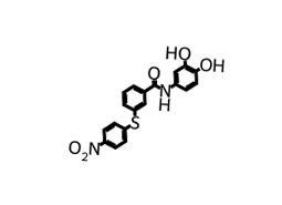 O=C(Nc1ccc(O)c(O)c1)c1cccc(Sc2ccc([N+](=O)[O-])cc2)c1